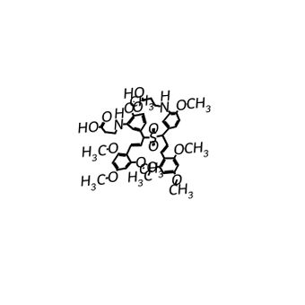 COc1cc(OC)c(C=CC(c2ccc(OC)c(NCCC(=O)O)c2)S(=O)(=O)C(C=Cc2c(OC)cc(OC)cc2OC)c2ccc(OC)c(NCCC(=O)O)c2)c(OC)c1